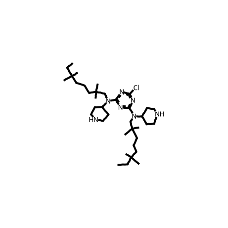 CCC(C)(C)CCCC(C)(C)CN(c1nc(Cl)nc(N(CC(C)(C)CCCC(C)(C)CC)C2CCNCC2)n1)C1CCNCC1